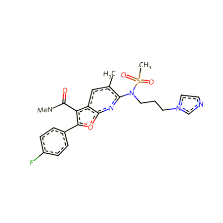 CNC(=O)c1c(-c2ccc(F)cc2)oc2nc(N(CCCn3ccnc3)S(C)(=O)=O)c(C)cc12